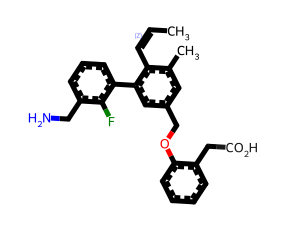 C/C=C\c1c(C)cc(COc2ccccc2CC(=O)O)cc1-c1cccc(CN)c1F